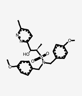 COc1ccc(CN(Cc2ccc(OC)cc2)S(=O)(=O)[C@H](C)[C@H](O)c2ccc(C)nn2)cc1